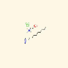 CCCCCCCCCC[N+](C)(C)C.C[N+](C)(C)CCO.[Cl-].[Cl-]